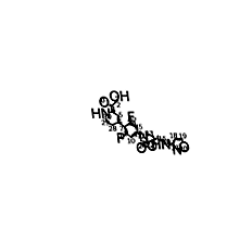 O=C(CO)C1C=C(c2c(F)cc(N3C[C@H](CNc4ccon4)OC3=O)cc2F)CCN1